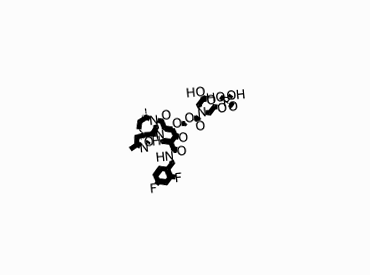 CC1=NO[C@@]2(CC[C@H](C)N3C[C@H]2n2cc(C(=O)NCc4ccc(F)cc4F)c(=O)c(OCOC(=O)N(CCOP(=O)(O)O)CC(=O)O)c2C3=O)C1